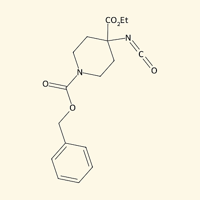 CCOC(=O)C1(N=C=O)CCN(C(=O)OCc2ccccc2)CC1